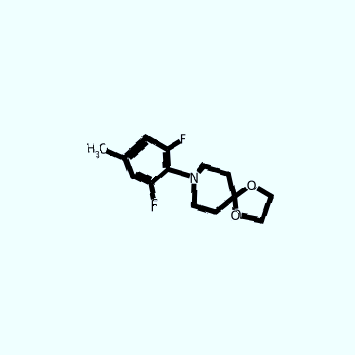 Cc1cc(F)c(N2CCC3(CC2)OCCO3)c(F)c1